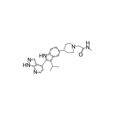 CNC(=O)CN1CCC(c2ccc3[nH]c(-c4ccnc5[nH]ncc45)c(C(C)C)c3c2)CC1